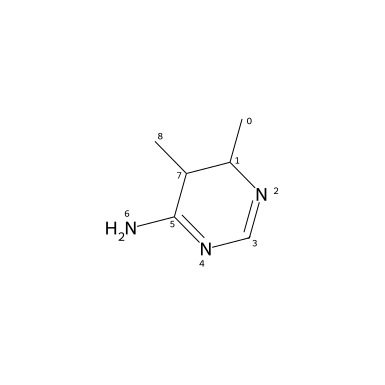 CC1N=CN=C(N)C1C